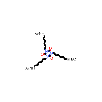 CC(=O)NCCCCCCn1c(=O)n(CCCCCCNC(C)=O)c(=O)n(CCCCCCNC(C)=O)c1=O